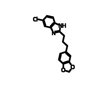 Clc1ccc2[nH]c(CCCc3ccc4c(c3)OCO4)nc2c1